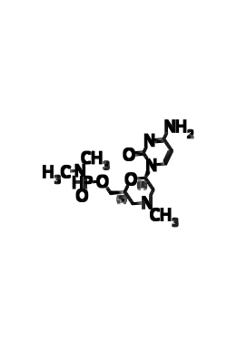 CN1C[C@@H](CO[PH](=O)N(C)C)O[C@@H](n2ccc(N)nc2=O)C1